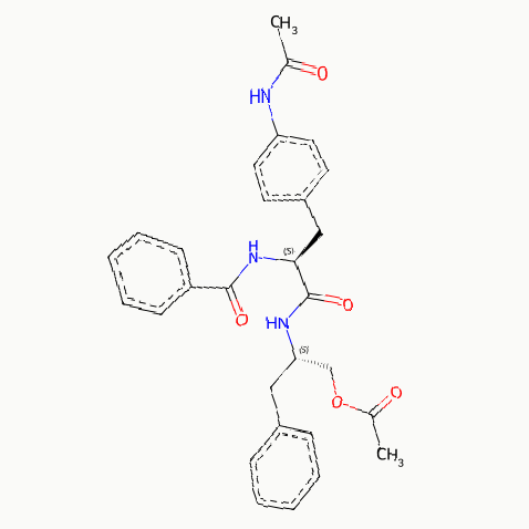 CC(=O)Nc1ccc(C[C@H](NC(=O)c2ccccc2)C(=O)N[C@H](COC(C)=O)Cc2ccccc2)cc1